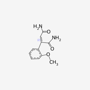 COc1ccccc1/C(=C/C(N)=O)C(N)=O